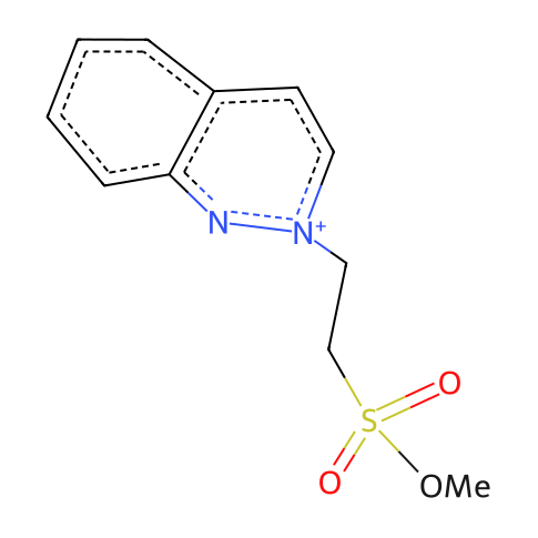 COS(=O)(=O)CC[n+]1ccc2ccccc2n1